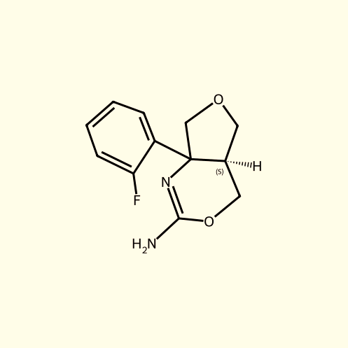 NC1=NC2(c3ccccc3F)COC[C@H]2CO1